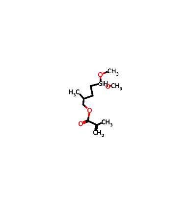 C=C(C)C(=O)OCC(C)CC[SiH](OC)OC